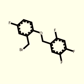 Fc1ccc(OCc2cc(F)c(F)cc2F)c(CBr)c1